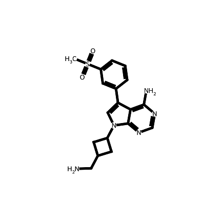 CS(=O)(=O)c1cccc(-c2cn(C3CC(CN)C3)c3ncnc(N)c23)c1